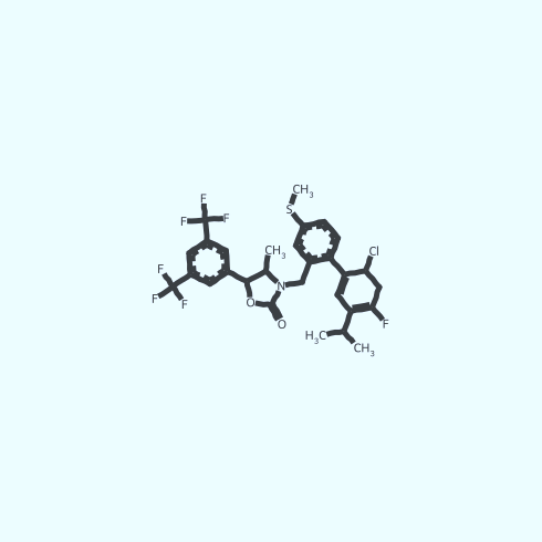 CSc1ccc(C2=CC(C(C)C)=C(F)CC2Cl)c(CN2C(=O)OC(c3cc(C(F)(F)F)cc(C(F)(F)F)c3)C2C)c1